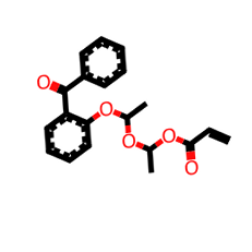 C=CC(=O)OC(C)OC(C)Oc1ccccc1C(=O)c1ccccc1